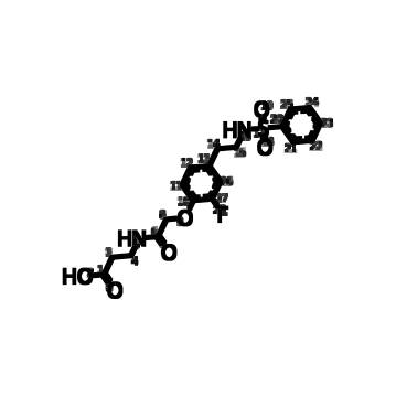 O=C(O)CCNC(=O)COc1ccc(CCNS(=O)(=O)c2ccccc2)cc1F